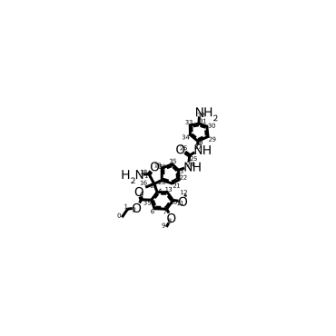 CCOC(=O)c1cc(OC)c(OC)cc1C(C)(C(N)=O)c1ccc(NC(=O)Nc2ccc(N)cc2)cc1